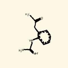 CC(=O)Cc1ccccc1NC(=N)N